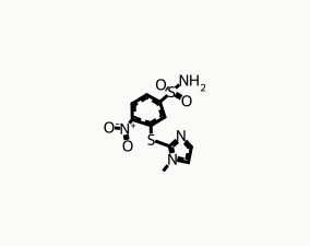 Cn1ccnc1Sc1cc(S(N)(=O)=O)ccc1[N+](=O)[O-]